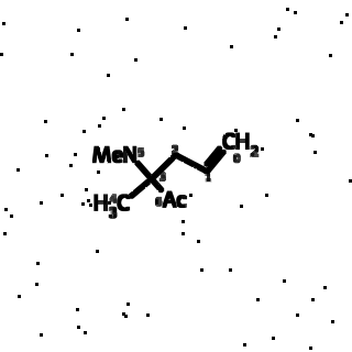 C=CCC(C)(NC)C(C)=O